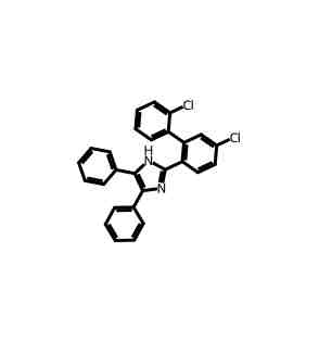 Clc1ccc(-c2nc(-c3ccccc3)c(-c3ccccc3)[nH]2)c(-c2ccccc2Cl)c1